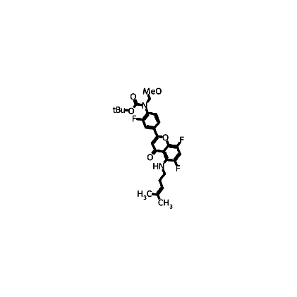 COCN(C(=O)OC(C)(C)C)c1ccc(-c2cc(=O)c3c(NCCC=C(C)C)c(F)cc(F)c3o2)cc1F